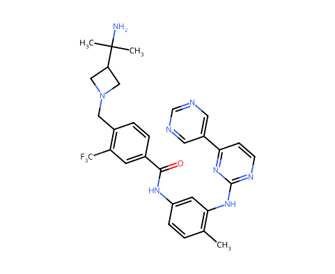 Cc1ccc(NC(=O)c2ccc(CN3CC(C(C)(C)N)C3)c(C(F)(F)F)c2)cc1Nc1nccc(-c2cncnc2)n1